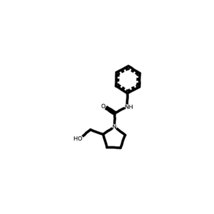 O=C(Nc1ccccc1)N1CCCC1CO